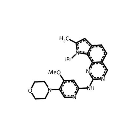 COc1cc(Nc2ncc3ccc4cc(C)n(C(C)C)c4c3n2)ncc1N1CCOCC1